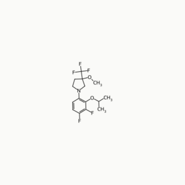 COC1(C(F)(F)F)CCN(c2ccc(F)c(F)c2OC(C)C)C1